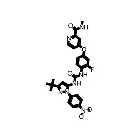 CNC(=O)c1cc(Oc2ccc(NC(=O)Nc3cc(C(C)(C)C)nn3-c3ccc([N+](=O)[O-])cc3)c(F)c2)ccn1